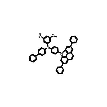 COc1cc(OC)cc(N(c2ccc(-c3ccccc3)cc2)c2ccc(-n3c4cc(-c5ccccc5)cc5ccc6cc(-c7ccccc7)cc3c6c54)cc2)c1